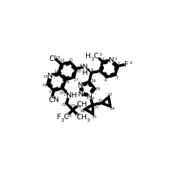 Cc1nc(F)ccc1[C@H](Nc1cc(Cl)c2ncc(C#N)c(NCC(C)(C)C(F)(F)F)c2c1)c1cn(C2(C3CC3)CC2)nn1